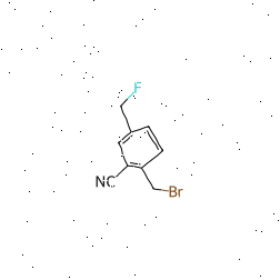 N#Cc1cc(CF)ccc1CBr